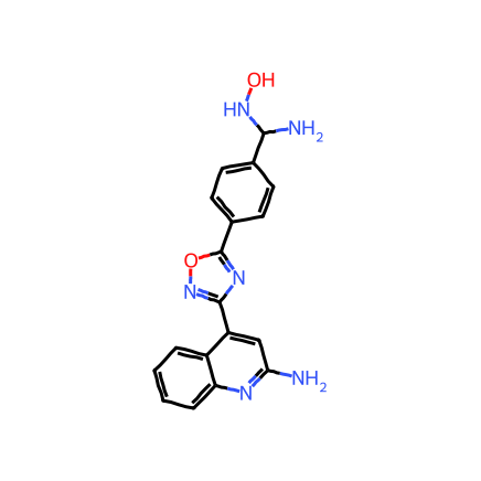 Nc1cc(-c2noc(-c3ccc(C(N)NO)cc3)n2)c2ccccc2n1